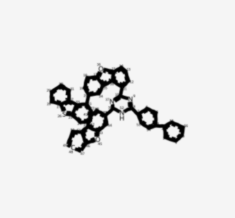 c1ccc(-c2ccc(C3=NC(c4cccc5oc6ccc(-c7cccc8sc9ccccc9c78)cc6c45)=NC(c4ccc5c(c4)oc4ccccc45)N3)cc2)cc1